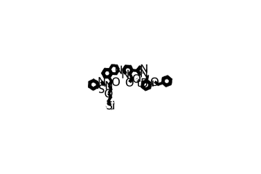 CC(C)(C)OC(=O)c1nc(N2CCc3cccc(C(=O)N(COCC[Si](C)(C)C)c4nc5ccccc5s4)c3C2)ccc1-c1cnn(Cc2ccccc2OCc2ccccc2)c1